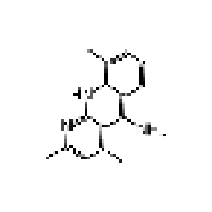 CC1=CC=CC2=C(N)c3c(C)cc(C)nc3NC12